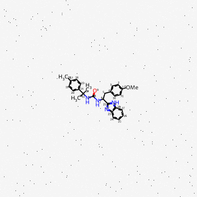 COc1ccc(CC(NC(=O)NC(C)(C)c2ccc(C)cc2)c2nc3ccccc3[nH]2)cc1